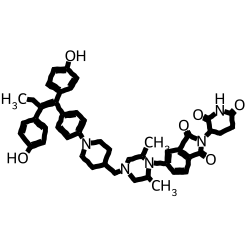 CCC(=C(c1ccc(O)cc1)c1ccc(N2CCC(CN3CC(C)N(c4ccc5c(c4)C(=O)N(C4CCC(=O)NC4=O)C5=O)C(C)C3)CC2)cc1)c1ccc(O)cc1